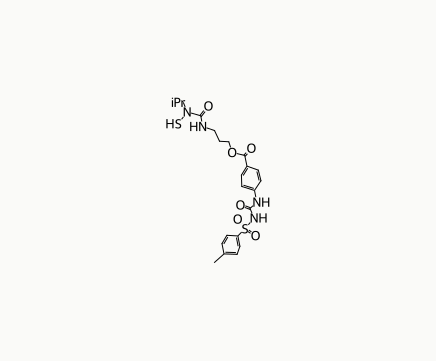 Cc1ccc(S(=O)(=O)NC(=O)Nc2ccc(C(=O)OCCCNC(=O)N(S)C(C)C)cc2)cc1